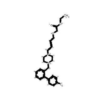 CCOC(=O)COCC=CCN1CCN(Cc2ccccc2-c2ccc(Cl)cc2)CC1